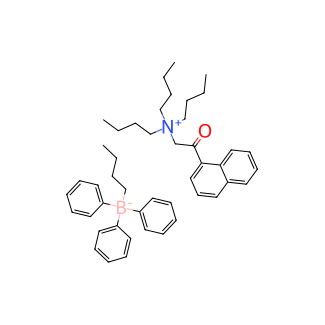 CCCC[B-](c1ccccc1)(c1ccccc1)c1ccccc1.CCCC[N+](CCCC)(CCCC)CC(=O)c1cccc2ccccc12